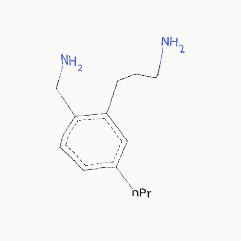 CCCc1ccc(CN)c(CCN)c1